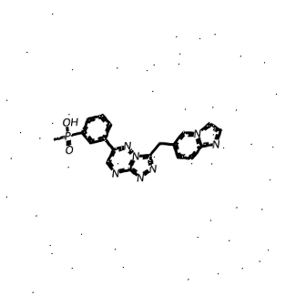 CP(=O)(O)c1cccc(-c2cnc3nnc(Cc4ccc5nccn5c4)n3n2)c1